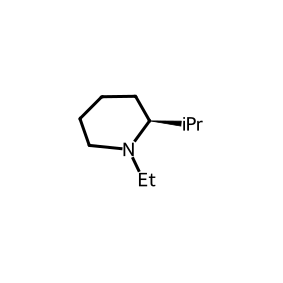 CCN1CCCC[C@H]1C(C)C